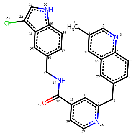 Cc1cnc2ccc(Cc3cc(C(=O)NCc4ccc5[nH]cc(Cl)c5c4)ccn3)cc2c1